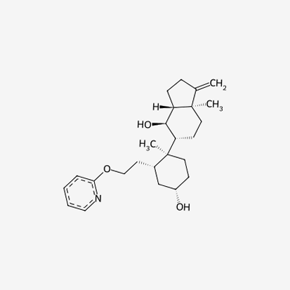 C=C1CC[C@H]2[C@H](O)[C@@H]([C@@]3(C)CC[C@H](O)C[C@@H]3CCOc3ccccn3)CC[C@]12C